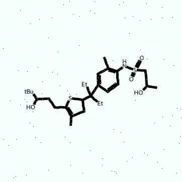 CCC(CC)(c1ccc(NS(=O)(=O)CC(C)O)c(C)c1)C1CC(C)=C(CCC(O)C(C)(C)C)S1